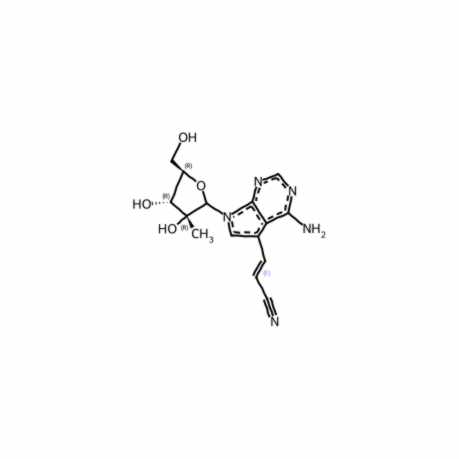 C[C@]1(O)C(n2cc(/C=C/C#N)c3c(N)ncnc32)O[C@H](CO)[C@H]1O